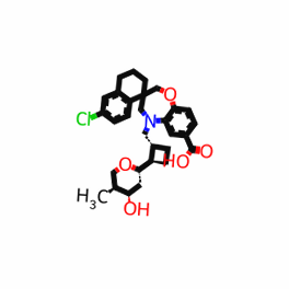 C[C@H]1CO[C@H]([C@@H]2CC[C@H]2CN2CC3(CCCc4cc(Cl)ccc43)COc3ccc(C(=O)O)cc32)C[C@@H]1O